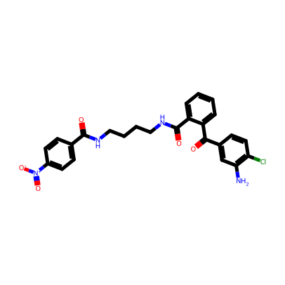 Nc1cc(C(=O)c2ccccc2C(=O)NCCCCNC(=O)c2ccc([N+](=O)[O-])cc2)ccc1Cl